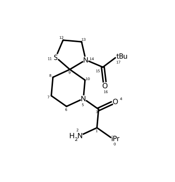 CC(C)C(N)C(=O)N1CCCC2(C1)SCCN2C(=O)C(C)(C)C